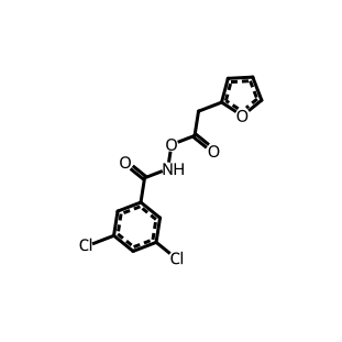 O=C(Cc1ccco1)ONC(=O)c1cc(Cl)cc(Cl)c1